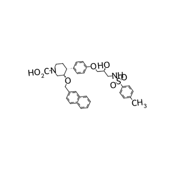 Cc1ccc(S(=O)(=O)NC[C@H](O)COc2ccc([C@H]3CCN(C(=O)O)C[C@@H]3OCc3ccc4ccccc4c3)cc2)cc1